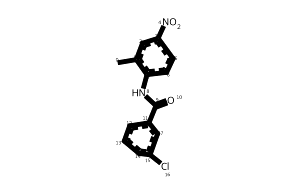 Cc1cc([N+](=O)[O-])ccc1NC(=O)c1cccc(Cl)c1